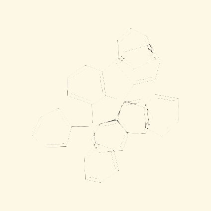 c1ccc(-c2cccc([Si](c3ccccc3)(c3ccccc3)c3ccccc3)c2[Si](c2ccccc2)(c2ccccc2)c2ccccc2)cc1